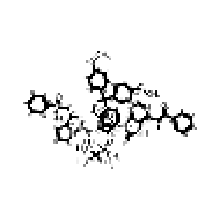 COc1ccc(C(OC[C@H]2O[C@@H](n3c(=O)[nH]c4c(NC(=O)c5ccccc5)ncnc43)[C@H](O[Si](C)(C)C(C)(C)C)[C@@H]2O[P@@]2O[C@H](CS(=O)(=O)c3ccccc3)[C@@H]3CCCN32)(c2ccccc2)c2ccc(OC)cc2)cc1